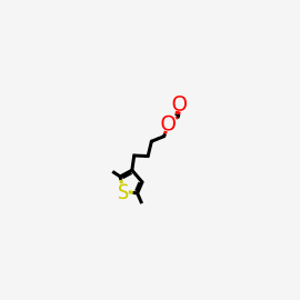 Cc1cc(CCCCOC=O)c(C)s1